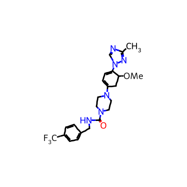 COC1CC(N2CCN(C(=O)NCc3ccc(C(F)(F)F)cc3)CC2)=CC=C1n1cnc(C)n1